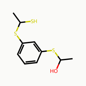 CC(O)Sc1cccc(SC(C)S)c1